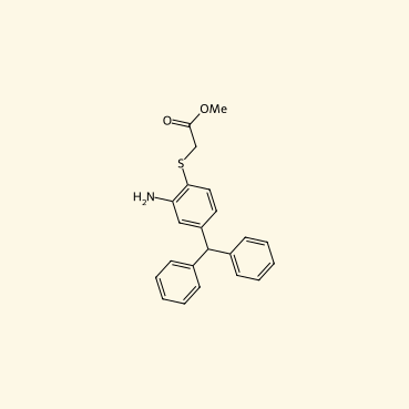 COC(=O)CSc1ccc(C(c2ccccc2)c2ccccc2)cc1N